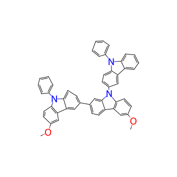 COc1ccc2c(c1)c1cc(-c3ccc4c5cc(OC)ccc5n(-c5ccc6c(c5)c5ccccc5n6-c5ccccc5)c4c3)ccc1n2-c1ccccc1